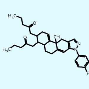 CCCC(=O)CC1CC=C2C(CCC3=Cc4c(cnn4-c4ccc(F)cc4)CC32C)C1CC(=O)CCC